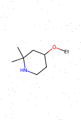 CCOC1CCNC(C)(C)C1